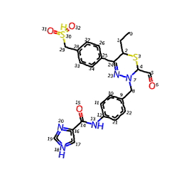 CCC1SC(C=O)N(Cc2ccc(NC(=O)c3c[nH]cn3)cc2)N=C1c1ccc(C[SH](=O)=O)cc1